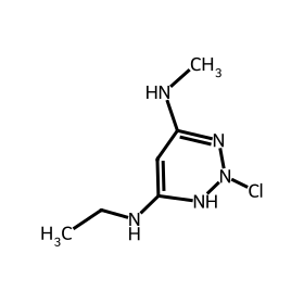 CCNC1=CC(NC)=NN(Cl)N1